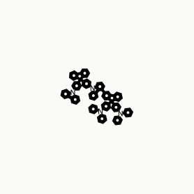 c1ccc(N(c2ccccc2)c2ccc(C3(c4ccc(N(c5ccccc5)c5ccccc5)cc4)c4ccccc4-c4cc(-c5cccc6c5c5ccccc5n6-c5ccc(C6(c7ccc(-n8c9ccccc9c9ccccc98)cc7)c7ccccc7-c7ccccc76)cc5)ccc43)cc2)cc1